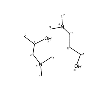 CC(O)CN(C)C.CN(C)CCCO